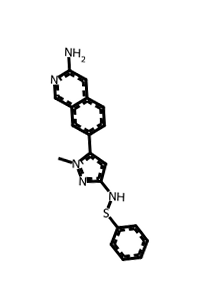 Cn1nc(NSc2ccccc2)cc1-c1ccc2cc(N)ncc2c1